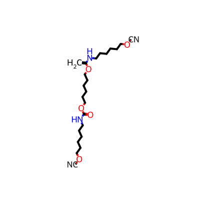 C=C(NCCCCCCOC#N)OCCCCCCOC(=O)NCCCCCCOC#N